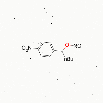 CCCCC(ON=O)c1ccc([N+](=O)[O-])cc1